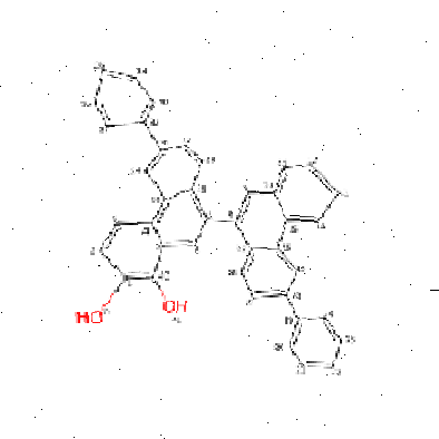 Oc1ccc2c(cc(-c3cc4ccccc4c4cc(-c5ccccc5)ccc34)c3ccc(-c4ccccc4)cc32)c1O